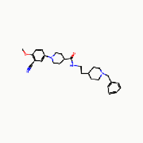 COc1ccc(N2CCC(C(=O)NCCC3CCN(Cc4ccccc4)CC3)CC2)cc1C#N